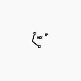 ClCCl.[K+].[OH-]